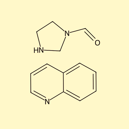 O=CN1CCNC1.c1ccc2ncccc2c1